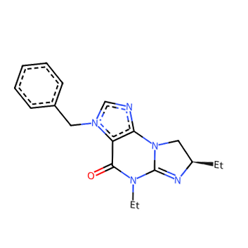 CC[C@@H]1CN2C(=N1)N(CC)C(=O)c1c2ncn1Cc1ccccc1